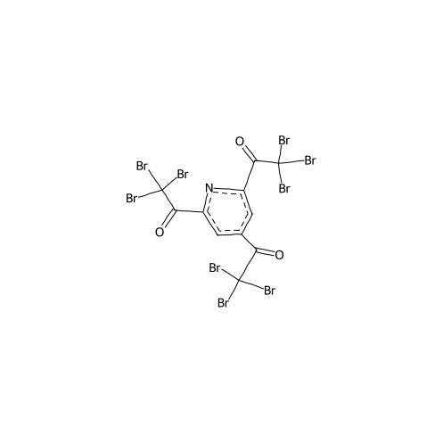 O=C(c1cc(C(=O)C(Br)(Br)Br)nc(C(=O)C(Br)(Br)Br)c1)C(Br)(Br)Br